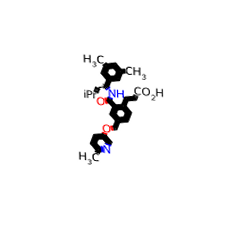 Cc1cc(C)cc([C@@H](CC(C)C)NC(=O)c2cc(COc3ccc(C)nc3)ccc2CCC(=O)O)c1